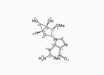 CO[C@H]1C(n2cnc3c(=O)[nH]c(N)nc32)O[C@@H]2C(O)[C@@]21O